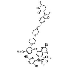 CCc1cnc2c(P(C)(C)=O)c(Nc3nc(Nc4cc(CC)c(N5CCC(N6CCN(CCc7ccc8c(c7)oc(=O)n8C7CCC(=O)NC7=O)CC6)CC5)cc4OC)ncc3Br)ccc2n1